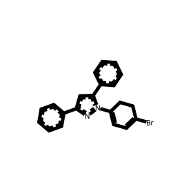 BrC1=CC=C(n2nc(-c3ccccc3)cc2-c2ccccc2)CC1